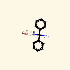 NC(N)(c1ccccc1)c1ccccc1.[Mg+2].[OH-].[OH-]